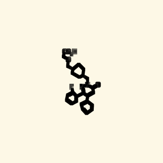 O=C(O)COC[C@H]1CC[C@@H](Cn2nc(-c3ccccc3F)c(-c3ccccc3)cc2=O)CC1